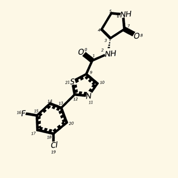 O=C(N[C@@H]1CCNC1=O)c1cnc(-c2cc(F)cc(Cl)c2)s1